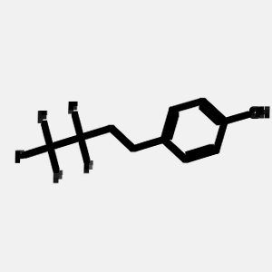 Oc1ccc(CCC(F)(F)C(F)(F)F)cc1